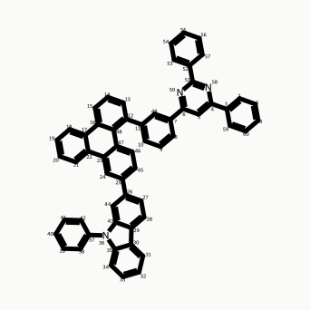 c1ccc(-c2cc(-c3cccc(-c4cccc5c6ccccc6c6cc(-c7ccc8c9ccccc9n(-c9ccccc9)c8c7)ccc6c45)c3)nc(-c3ccccc3)n2)cc1